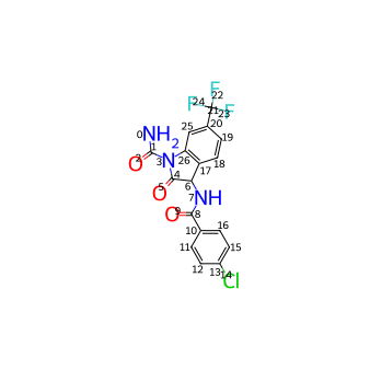 NC(=O)N1C(=O)C(NC(=O)c2ccc(Cl)cc2)c2ccc(C(F)(F)F)cc21